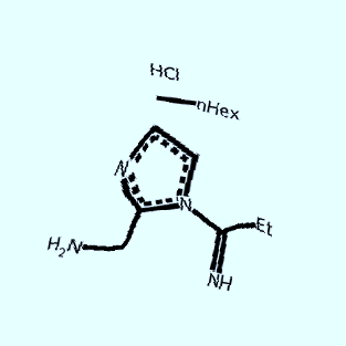 CCC(=N)n1ccnc1CN.CCCCCCC.Cl